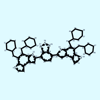 c1cc2c(s1)c(CC1CCCCC1)c(CC1CCCCC1)c1sc(-c3ccc(-c4cc5c(s4)c(CC4CCCCC4)c(CC4CCCCC4)c4sccc45)c4nsnc34)cc12